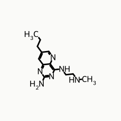 CCCc1cnc2c(NCCNC)nc(N)nc2c1